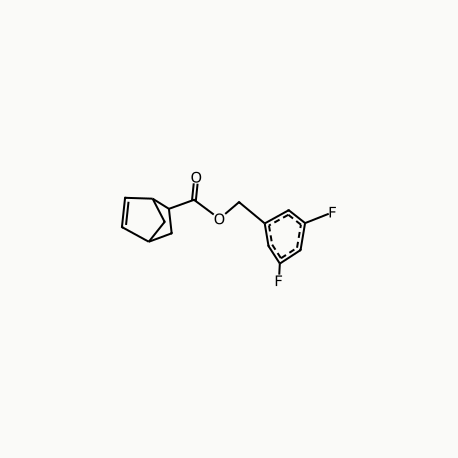 O=C(OCc1cc(F)cc(F)c1)C1CC2C=CC1C2